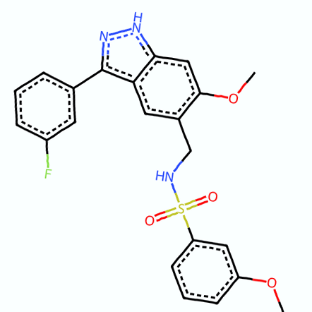 COc1cccc(S(=O)(=O)NCc2cc3c(-c4cccc(F)c4)n[nH]c3cc2OC)c1